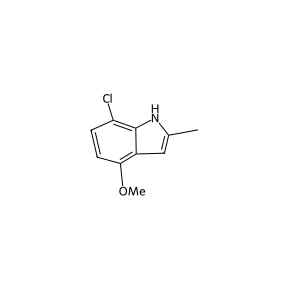 COc1ccc(Cl)c2[nH]c(C)cc12